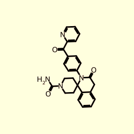 NC(=O)N1CCC2(CC1)c1ccccc1CC(=O)N2c1ccc(C(=O)c2ccccn2)cc1